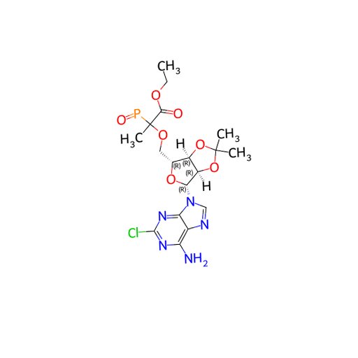 CCOC(=O)C(C)(OC[C@H]1O[C@@H](n2cnc3c(N)nc(Cl)nc32)[C@@H]2OC(C)(C)O[C@@H]21)P=O